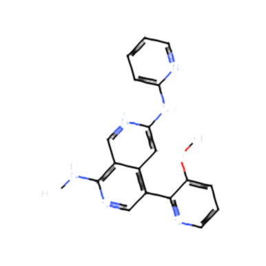 CNc1ncc(-c2ncccc2OC)c2cc(Nc3ccccn3)ncc12